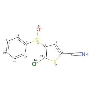 N#Cc1cc([S+]([O-])c2ccccc2)c(Cl)s1